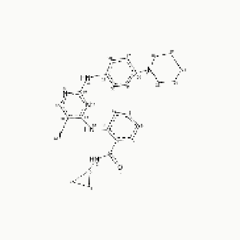 O=C(NC1CC1)c1ccccc1Nc1nc(Nc2ccc(N3CCCCC3)cc2)ncc1I